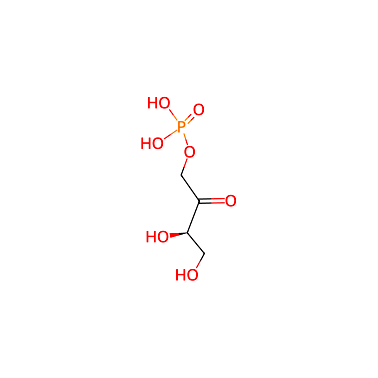 O=C(COP(=O)(O)O)[C@H](O)CO